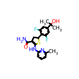 Cc1cccc(NC2=C(C(N)=O)CC(c3c(F)cc(C(C)(C)O)cc3F)S2)n1